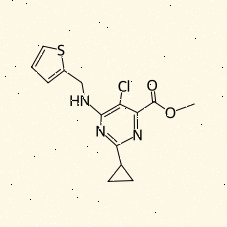 COC(=O)c1nc(C2CC2)nc(NCc2cccs2)c1Cl